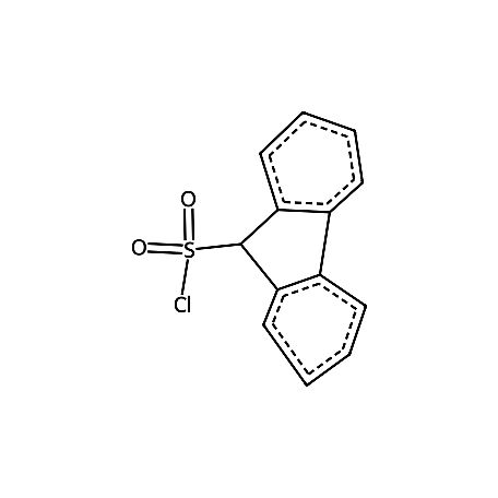 O=S(=O)(Cl)C1c2ccccc2-c2ccccc21